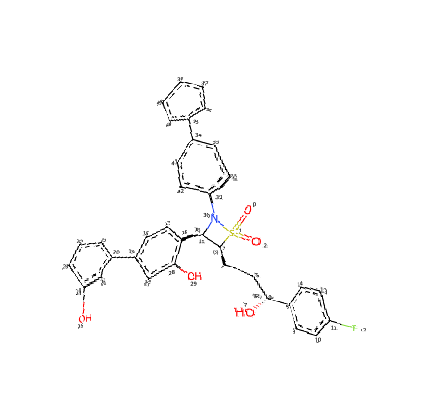 O=S1(=O)[C@@H](CC[C@@H](O)c2ccc(F)cc2)[C@@H](c2ccc(-c3cccc(O)c3)cc2O)N1c1ccc(-c2ccccc2)cc1